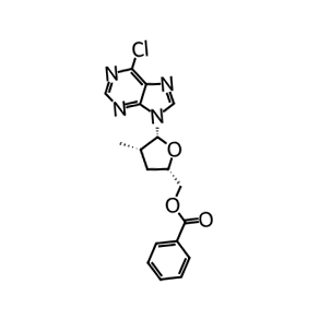 C[C@H]1C[C@@H](COC(=O)c2ccccc2)O[C@H]1n1cnc2c(Cl)ncnc21